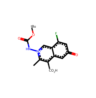 Cc1c(C(=O)O)c2cc(=O)cc(F)c-2cn1NC(=O)OC(C)(C)C